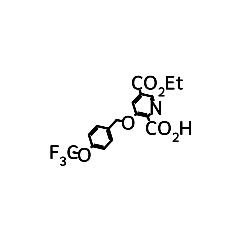 CCOC(=O)c1cnc(C(=O)O)c(OCc2ccc(OC(F)(F)F)cc2)c1